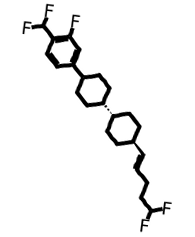 Fc1cc(C2CCC([C@H]3CC[C@H](/C=C/CCC(F)F)CC3)CC2)ccc1C(F)F